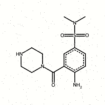 CN(C)S(=O)(=O)c1ccc(N)c(C(=O)N2CCNCC2)c1